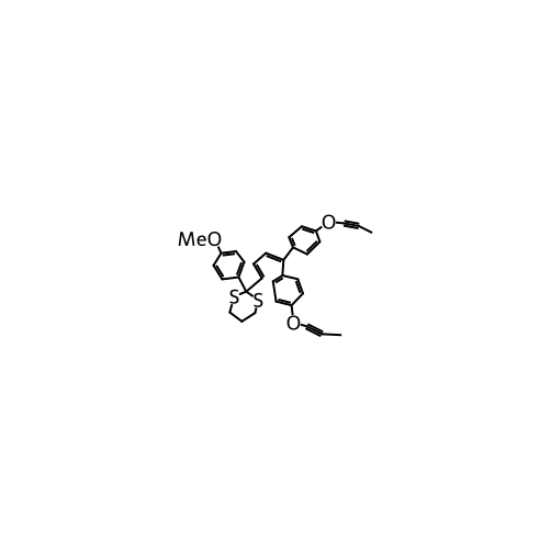 CC#COc1ccc(C(=CC=CC2(c3ccc(OC)cc3)SCCCS2)c2ccc(OC#CC)cc2)cc1